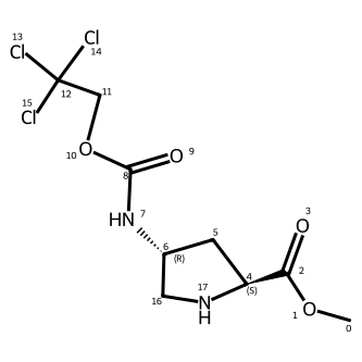 COC(=O)[C@@H]1C[C@@H](NC(=O)OCC(Cl)(Cl)Cl)CN1